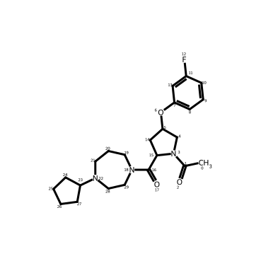 CC(=O)N1CC(Oc2cccc(F)c2)CC1C(=O)N1CCCN(C2CCCC2)CC1